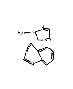 NC1COC=N1.c1ccc2ncccc2c1